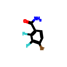 NC(=O)c1ccc(Br)c(F)c1F